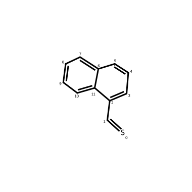 S=Cc1cc[c]c2ccccc12